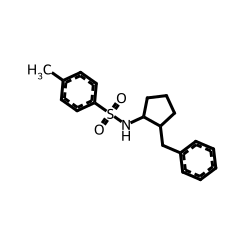 Cc1ccc(S(=O)(=O)NC2CCCC2Cc2ccccc2)cc1